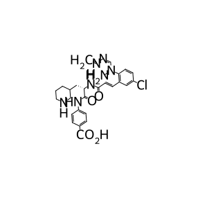 C=N/N=C\N(N)c1ccc(Cl)cc1/C=C/C(=O)N[C@@H](CC1CCCNC1)C(=O)Nc1ccc(C(=O)O)cc1